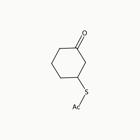 CC(=O)SC1CCCC(=O)C1